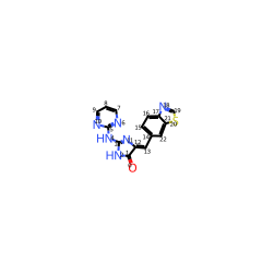 O=C1NC(Nc2ncccn2)=N/C1=C\c1ccc2ncsc2c1